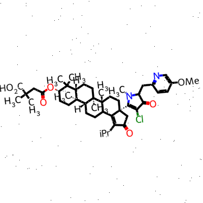 COc1ccc(CC2C(=O)C(Cl)=C([C@@]34CC[C@]5(C)C(CC[C@@H]6[C@@]7(C)CC[C@H](OC(=O)CC(C)(C)C(=O)O)C(C)(C)[C@@H]7CC[C@]65C)C3=C(C(C)C)C(=O)C4)N2C)nc1